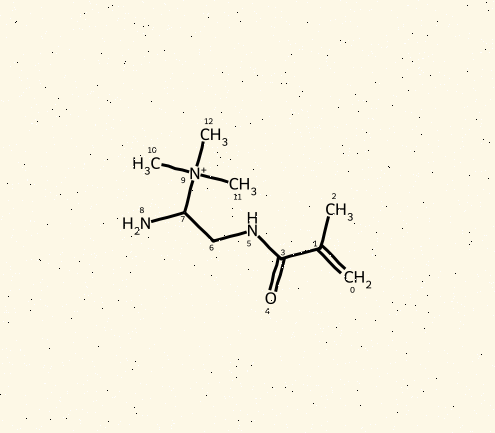 C=C(C)C(=O)NCC(N)[N+](C)(C)C